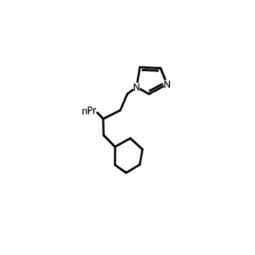 CCCC(CCn1ccnc1)CC1CCCCC1